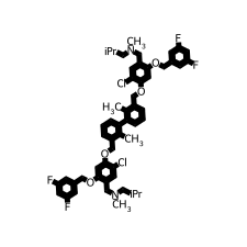 Cc1c(COc2cc(OCc3cc(F)cc(F)c3)c(CN(C)CC(C)C)cc2Cl)cccc1-c1cccc(COc2cc(OCc3cc(F)cc(F)c3)c(CN(C)CC(C)C)cc2Cl)c1C